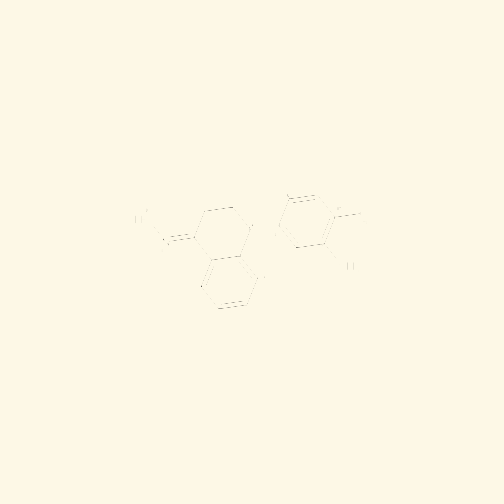 Cc1cc([C@H]2CCC(=NO)c3ccccc32)ccc1Cl